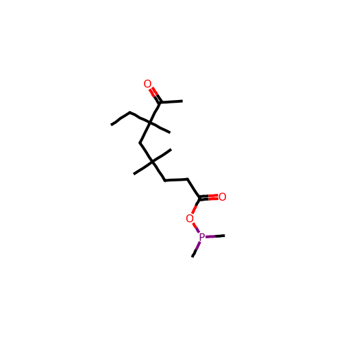 CCC(C)(CC(C)(C)CCC(=O)OP(C)C)C(C)=O